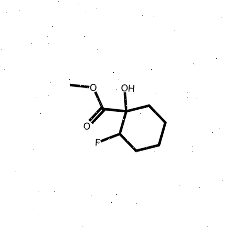 COC(=O)C1(O)CCCCC1F